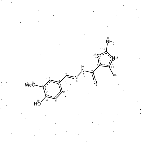 COc1cc(C=NNC(=O)c2sc(N)nc2C)ccc1O